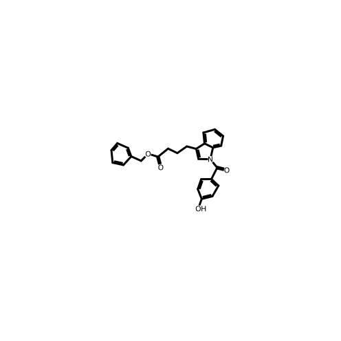 O=C(CCCc1cn(C(=O)c2ccc(O)cc2)c2ccccc12)OCc1ccccc1